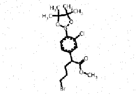 COC(=O)C(CCCBr)c1ccc(B2OC(C)(C)C(C)(C)O2)c(Cl)c1